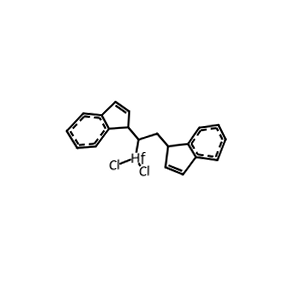 [Cl][Hf]([Cl])[CH](CC1C=Cc2ccccc21)C1C=Cc2ccccc21